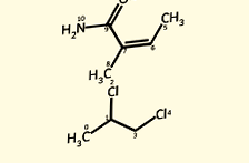 CC(Cl)CCl.CC=C(C)C(N)=O